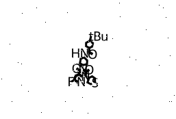 CC(C)(C)C1CCC(C(=O)N[C@H]2CC[C@@H](n3c(=O)c4cc(F)cnc4n(C4CCSCC4)c3=O)CC2)CC1